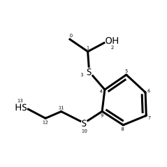 CC(O)Sc1ccccc1SCCS